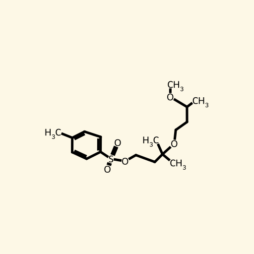 COC(C)CCOC(C)(C)CCOS(=O)(=O)c1ccc(C)cc1